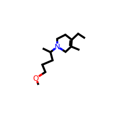 CCC1=C(C)CN(C(C)CCCOC)CC1